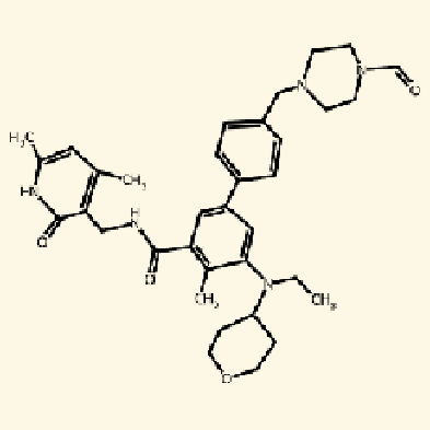 CCN(c1cc(-c2ccc(CN3CCN(C=O)CC3)cc2)cc(C(=O)NCc2c(C)cc(C)[nH]c2=O)c1C)C1CCOCC1